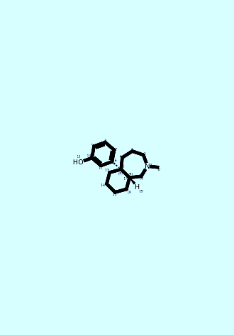 CN1CCC[C@]2(c3cccc(O)c3)CCCC[C@H]2C1